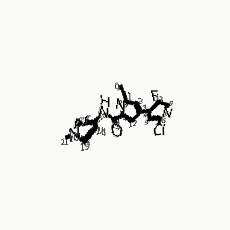 Cc1cc(-c2cc(Cl)ncc2F)cc(C(=O)Nc2ccn(C)n2)n1